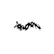 CCCCCC1CCC(C2CCC(COc3cc(F)c(F)cc3F)CC2)CC1